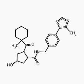 Cc1ncsc1-c1ccc(CNC(=O)[C@@H]2C[C@@H](O)CN2C(=O)C2(C)CCCCC2)cc1